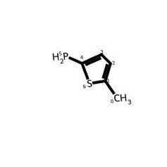 Cc1ccc(P)s1